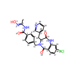 CC(=NO)NC(=O)c1ccc(CN2C(=O)c3ccc(Cl)cc3NC(=O)C2Cc2cccnc2)cc1